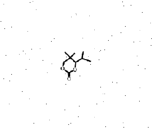 CC(C)C1OC(=O)OCC1(C)C